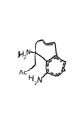 CC(=O)CC1(N)CC=Cc2cccc(N)c21